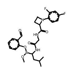 COB(Oc1ccccc1C=O)C(CC(C)C)NC(=O)CNC(=O)C1CCN1c1ccc(F)cc1F